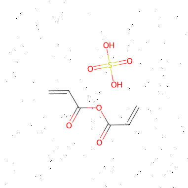 C=CC(=O)OC(=O)C=C.O=S(=O)(O)O